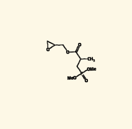 COP(=O)(CC(C)C(=O)OCC1CO1)OC